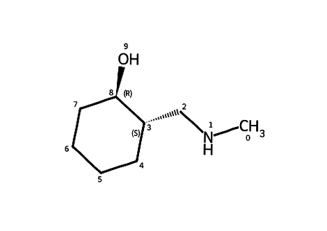 CNC[C@@H]1CCCC[C@H]1O